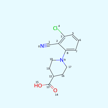 N#Cc1c(Cl)cccc1N1CCC(C(=O)O)CC1